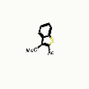 COc1c(C(C)=O)sc2ccccc12